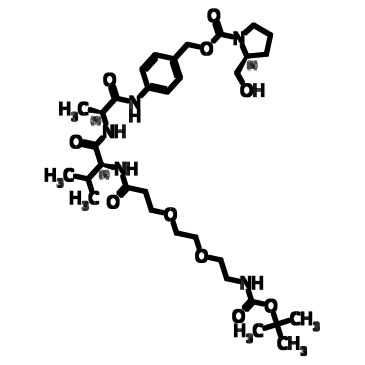 CC(C)[C@H](NC(=O)CCOCCOCCNC(=O)OC(C)(C)C)C(=O)N[C@@H](C)C(=O)Nc1ccc(COC(=O)N2CCC[C@H]2CO)cc1